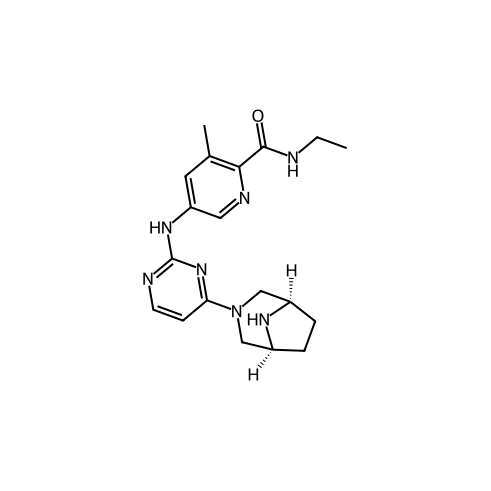 CCNC(=O)c1ncc(Nc2nccc(N3C[C@H]4CC[C@@H](C3)N4)n2)cc1C